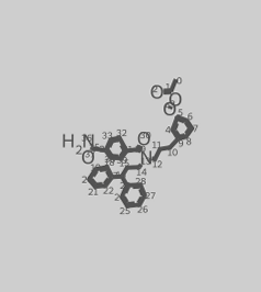 CC(=O)OOc1cccc(CCCN(CCC(c2ccccc2)c2ccccc2)C(=O)c2ccc(C(N)=O)cc2)c1